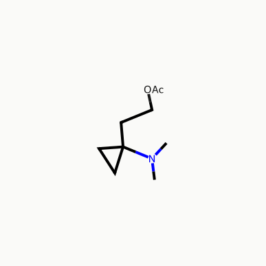 CC(=O)OCCC1(N(C)C)CC1